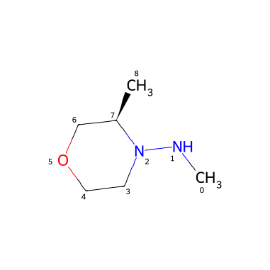 CNN1CCOC[C@H]1C